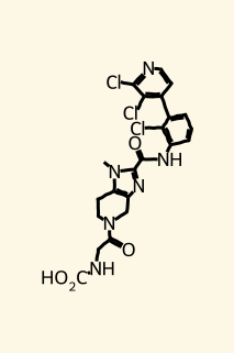 Cn1c(C(=O)Nc2cccc(-c3ccnc(Cl)c3Cl)c2Cl)nc2c1CCN(C(=O)CNC(=O)O)C2